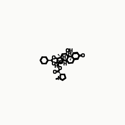 CN1CCC[C@H]1C(=O)OCC(=O)[C@@]12O[C@H](C3CCCCC3)O[C@@H]1C[C@H]1[C@@H]3CCC4=CC(=O)C=C[C@]4(C)[C@H]3[C@@H](O)C[C@@]12C